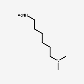 CC(=O)NCCCCCCN(C)C